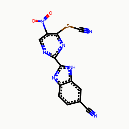 N#CSc1nc(-c2nc3ccc(C#N)cc3[nH]2)ncc1[N+](=O)[O-]